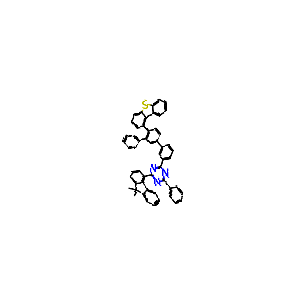 CC1(C)c2ccccc2-c2c(-c3nc(-c4ccccc4)nc(-c4cccc(-c5ccc(-c6cccc7sc8ccccc8c67)c(-c6ccccc6)c5)c4)n3)cccc21